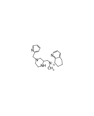 CN(CC1CN(Cc2ccccn2)CCN1)[C@H]1CCCc2cccnc21